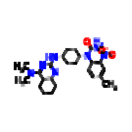 Cc1ccc(N(C(N)=O)C2CCC(Nc3nc4c(c(N(C)C)n3)CCCC4)CC2)c([N+](=O)[O-])c1